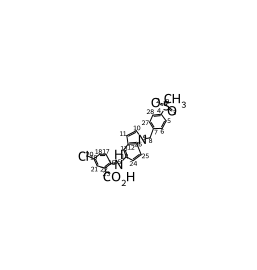 CS(=O)(=O)c1ccc(Cn2ccc3cc(Nc4ccc(Cl)cc4C(=O)O)ccc32)cc1